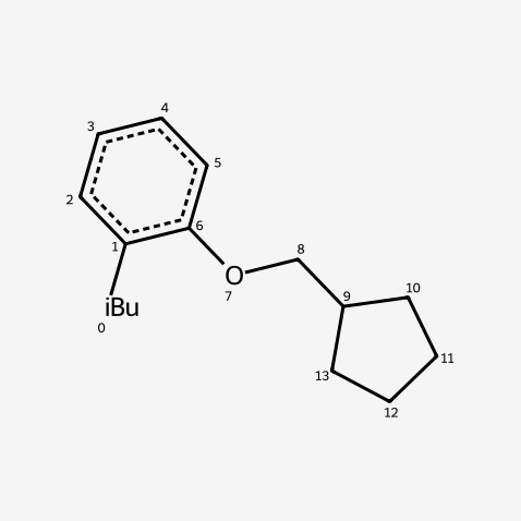 CCC(C)c1ccccc1OCC1CCCC1